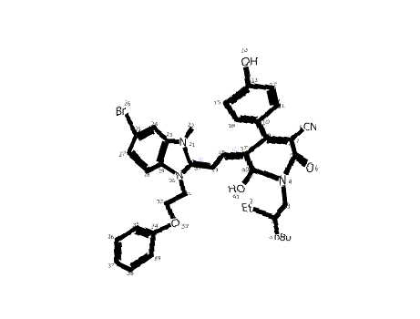 CCCCC(CC)CN1C(=O)C(C#N)=C(c2ccc(O)cc2)/C(=C/C=C2\N(C)c3cc(Br)ccc3N2CCOc2ccccc2)C1O